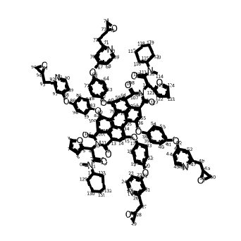 CN(C(=O)C(c1ccco1)N1C(=O)c2cc(Oc3ccc(Oc4ccnc(CC5CO5)c4)cc3)c3c4c(Oc5ccc(Oc6ccnc(CC7CO7)c6)cc5)cc5c6c(cc(Oc7ccc(Oc8ccnc(CC9CO9)c8)cc7)c(c7c(Oc8ccc(Oc9ccnc(CC%10CO%10)c9)cc8)cc(c2c37)C1=O)c64)C(=O)N(C(C(=O)N(C)C1CCCCC1)c1ccco1)C5=O)C1CCCCC1